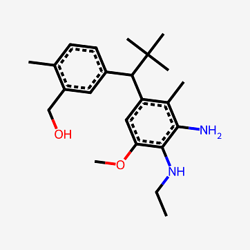 CCNc1c(OC)cc(C(c2ccc(C)c(CO)c2)C(C)(C)C)c(C)c1N